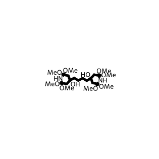 COC1(OC)CC(O)(CCCCC2(O)CC(OC)(OC)NC(OC)(OC)C2)CC(OC)(OC)N1